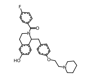 O=C(c1ccc(F)cc1)N1CCc2cc(O)ccc2C1Cc1ccc(OCCN2CCCCC2)cc1